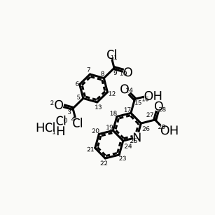 Cl.Cl.O=C(Cl)c1ccc(C(=O)Cl)cc1.O=C(O)c1cc2ccccc2nc1C(=O)O